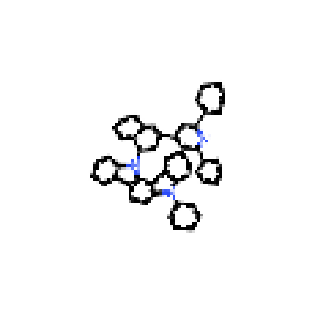 c1ccc(-c2cc(-c3cc(-n4c5ccccc5c5ccc6c(c7ccccc7n6-c6ccccc6)c54)c4ccccc4c3)cc(-c3ccccc3)n2)cc1